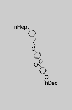 CCCCCCCCCCCOc1ccc(C(=O)Oc2ccc(OCCC[C@H]3CC[C@H](CCCCCCC)CC3)cc2)cc1